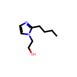 CCCCc1nccn1CCO